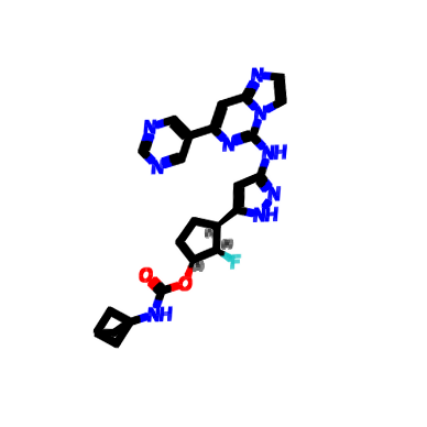 O=C(NC12CC(C1)C2)O[C@H]1CC[C@@H](c2cc(Nc3nc(-c4cncnc4)cc4nccn34)n[nH]2)[C@H]1F